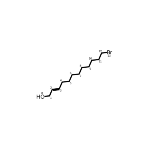 OCC=CCCCCCCCCCBr